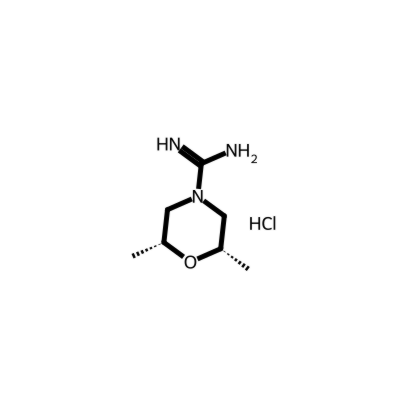 C[C@@H]1CN(C(=N)N)C[C@H](C)O1.Cl